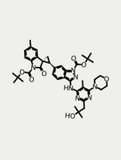 Cc1ccc2c(c1)[C@]1(C[C@H]1c1ccc3c(Nc4nc(CC(C)(C)O)nc(N5CCOCC5)c4C)nn(C(=O)OC(C)(C)C)c3c1)C(=O)N2C(=O)OC(C)(C)C